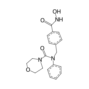 O=C(NO)c1ccc(CN(C(=O)N2CCOCC2)c2ccccc2)cc1